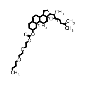 CCCCOCCOCCOC(=O)OC1CCC2=CCC3C(CC[C@@]4(C)C3CC[C@@H]4[C@H](C)CCCC(C)C)[C@@]2(C)C1